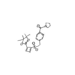 CC1(C)OB(C2=CC=C2S(=O)(=O)Cc2ccc(C(=O)N3CCCC3)cc2)OC1(C)C